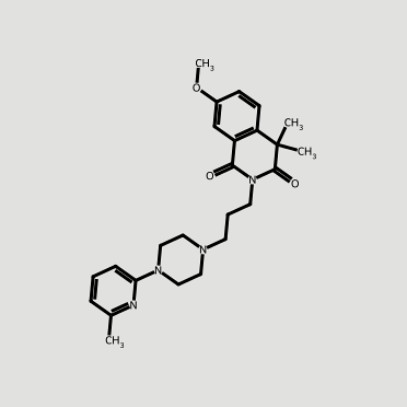 COc1ccc2c(c1)C(=O)N(CCCN1CCN(c3cccc(C)n3)CC1)C(=O)C2(C)C